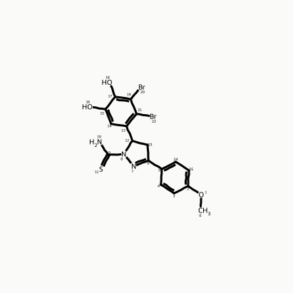 COc1ccc(C2=NN(C(N)=S)C(c3cc(O)c(O)c(Br)c3Br)C2)cc1